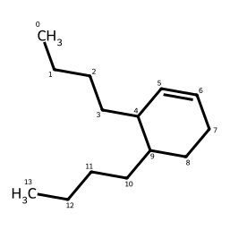 CCCCC1C=CCCC1CCCC